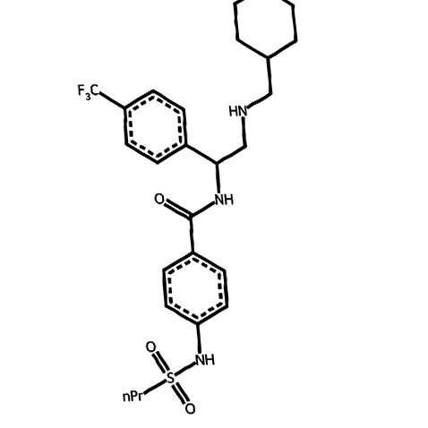 CCCS(=O)(=O)Nc1ccc(C(=O)NC(CNCC2CCCCC2)c2ccc(C(F)(F)F)cc2)cc1